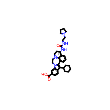 O=C(NCCN1CCCC1)N[C@@H]1CCN2CCn3c(c(C4CCCCC4)c4ccc(C(=O)O)cc43)-c3cccc1c32